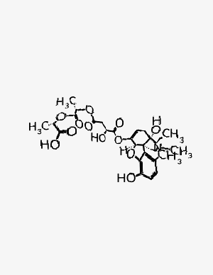 Cc1ccc(O)c2c1[C@]13CCN(C)[C@H](C)[C@]1(O)CC=C(OC(=O)[C@@H](O)CC(=O)O[C@@H](C)C(=O)O[C@@H](C)C(=O)O)[C@@H]3O2